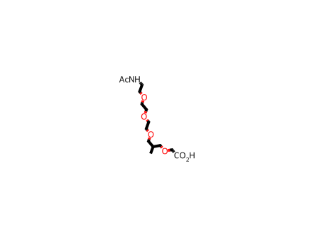 CC(=O)NCCOCCOCCOCC(C)COCC(=O)O